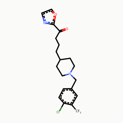 O=C(CCCC1CCN(Cc2ccc(Cl)c(C(F)(F)F)c2)CC1)c1ncco1